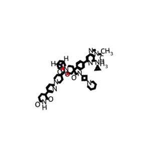 CC(C)n1cnc2cc(-c3ccc4c(c3)N([C@H]3C[C@@H](N5CCCCC5)C3)C(=O)C43CCN(C(=O)C4[C@@H]5C[C@H]4CN(C(=O)C4CCN(c6ccc(C7CCC(=O)NC7=O)cn6)CC4)C5)CC3)nc(NC3CC3)c21